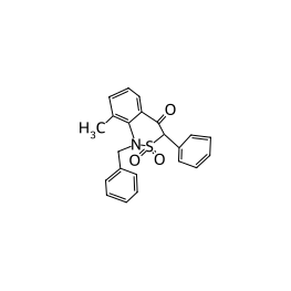 Cc1cccc2c1N(Cc1ccccc1)S(=O)(=O)C(c1ccccc1)C2=O